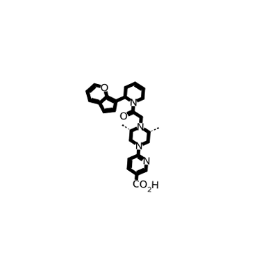 C[C@@H]1CN(c2ccc(C(=O)O)cn2)C[C@H](C)N1CC(=O)N1CC=CCC1c1ccc2cccoc1-2